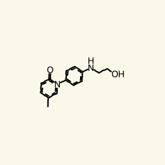 Cc1ccc(=O)n(-c2ccc(NCCO)cc2)c1